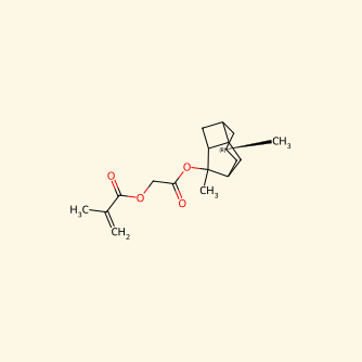 C=C(C)C(=O)OCC(=O)OC1(C)C2CC3C(=C[C@H](C)C2)CC31